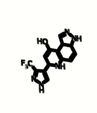 OC1=CC(c2c[nH]nc2C(F)(F)F)NC2=C1C1C=NNC1C=C2